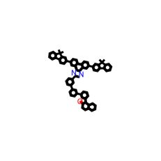 CC1(C)c2ccccc2-c2ccc(-c3ccc4c5ccc(-c6ccc7c(c6)C(C)(C)c6ccccc6-7)cc5c5nc(-c6cccc(-c7cccc(-c8cccc9c8oc8ccc%10ccccc%10c89)c7)c6)cnc5c4c3)cc21